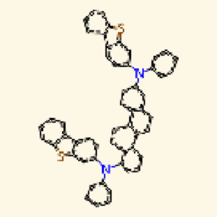 c1ccc(N(c2ccc3c(ccc4c5cccc(N(c6ccccc6)c6ccc7c(c6)sc6ccccc67)c5ccc34)c2)c2ccc3c(c2)sc2ccccc23)cc1